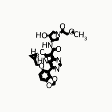 COCC(=O)N1C[C@H](O)[C@H](NC(=O)c2c(C)[nH]c3c(-c4c(OCC5CC5)ccc5c4OCO5)ncnc23)C1